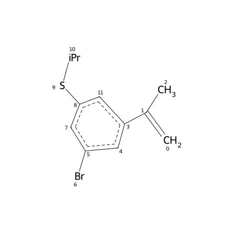 C=C(C)c1cc(Br)cc(SC(C)C)c1